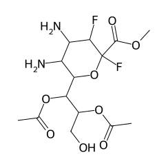 COC(=O)C1(F)OC(C(OC(C)=O)C(CO)OC(C)=O)C(N)C(N)C1F